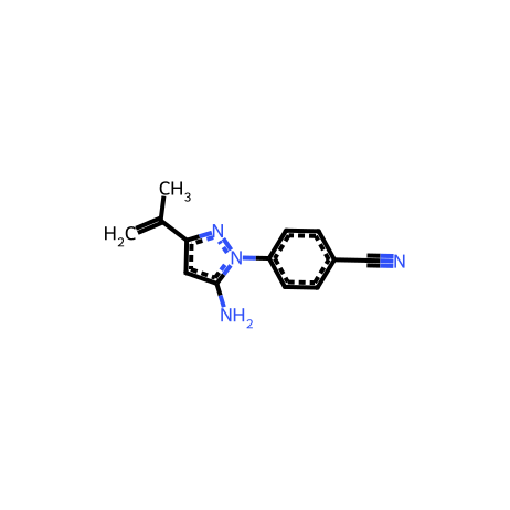 C=C(C)c1cc(N)n(-c2ccc(C#N)cc2)n1